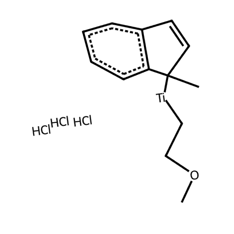 COC[CH2][Ti][C]1(C)C=Cc2ccccc21.Cl.Cl.Cl